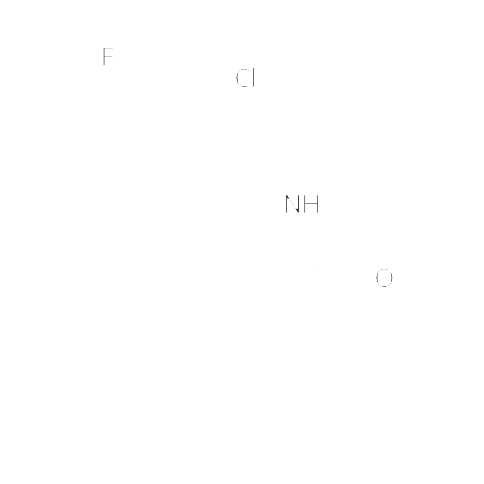 CCc1cc2ccc(F)c(Cl)c2[nH]c1=O